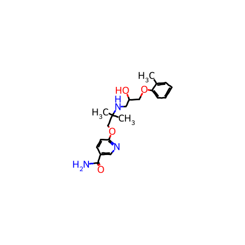 Cc1ccccc1OCC(O)CNC(C)(C)COc1ccc(C(N)=O)cn1